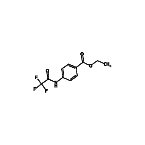 CCOC(=O)c1ccc(NC(=O)C(F)(F)F)cc1